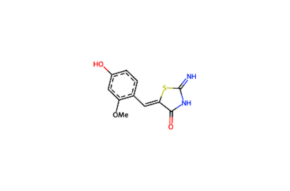 COc1cc(O)ccc1C=C1SC(=N)NC1=O